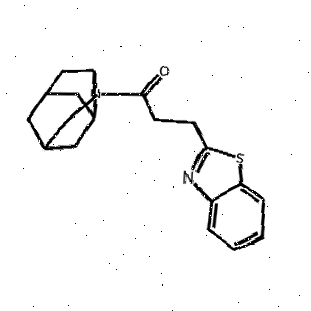 O=C(CCc1nc2ccccc2s1)N1C2CC3CC(C2)CC1C3